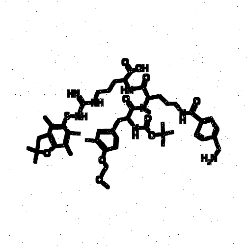 COCOc1ccc(CC(NC(=O)OC(C)(C)C)C(=O)N(C)C(CCCNC(=O)c2ccc(CN)cc2)C(=O)NC(CCCNC(=N)NSc2c(C)c(C)c3c(c2C)CC(C)(C)O3)C(=O)O)cc1C